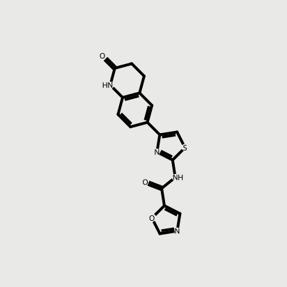 O=C1CCc2cc(-c3csc(NC(=O)c4cnco4)n3)ccc2N1